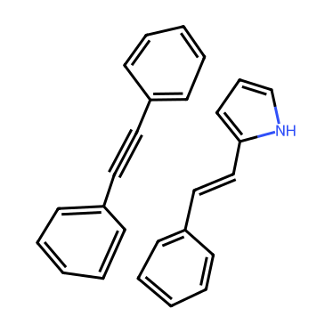 C(#Cc1ccccc1)c1ccccc1.C(=Cc1ccc[nH]1)c1ccccc1